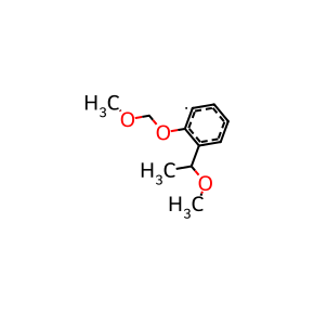 COCOc1[c]cccc1C(C)OC